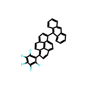 Fc1c(F)c(F)c(-c2ccc3ccc4c(-c5c6ccccc6cc6ccccc56)ccc5ccc2c3c54)c(F)c1F